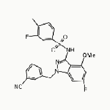 COc1cc(F)cc2c1c(NS(=O)(=O)c1ccc(C)c(F)c1)nn2Cc1cccc(C#N)c1